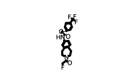 O=C(CF)N1CCc2ccc(NS(=O)(=O)c3ccc(C(F)(F)F)cc3)cc2CC1